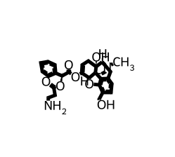 CN1CC[C@]23c4c5ccc(CO)c4O[C@H]2C(OC(=O)[C@@H](OC(=O)CCN)c2ccccc2)=CC[C@@]3(O)[C@H]1C5